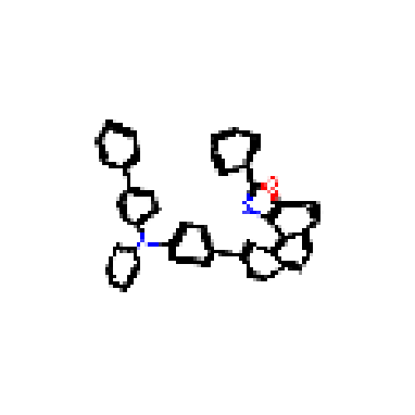 c1ccc(-c2ccc(N(c3ccccc3)c3ccc(-c4ccc5ccc6ccc7oc(-c8ccccc8)nc7c6c5c4)cc3)cc2)cc1